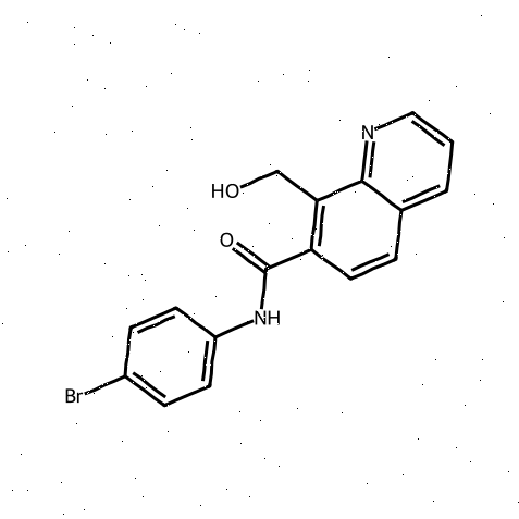 O=C(Nc1ccc(Br)cc1)c1ccc2cccnc2c1CO